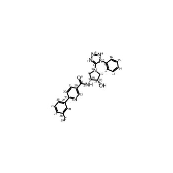 O=C(N[C@@H]1CN(c2nnnn2-c2ccccc2)C[C@H]1O)c1ccc(-c2cccc(F)c2)nc1